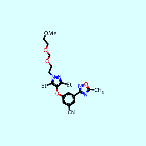 CCc1nn(CCOCOCCOC)c(CC)c1Oc1cc(C#N)cc(-c2noc(C)n2)c1